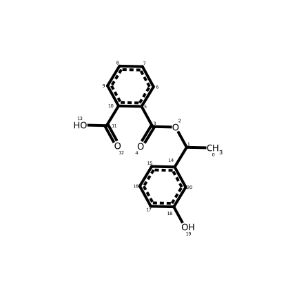 CC(OC(=O)c1ccccc1C(=O)O)c1cccc(O)c1